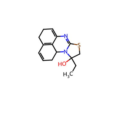 CCC1(O)CSC2=NC3=CCCC4=C3C(CC=C4)N21